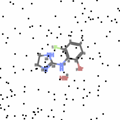 Br.Fc1cccc(Br)c1NC1=NCCN1